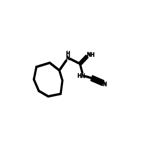 N#CNC(=N)NC1CCCCCCC1